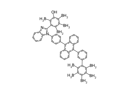 Bc1c(B)c(B)c(-c2cccc(-c3c4ccccc4c(-c4ccc(-n5c(-c6c(B)c(B)c(B)c(O)c6B)nc6ccccc65)cc4)c4ccccc34)c2)c(B)c1B